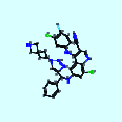 N#Cc1cnc2c(Cl)cc(NC(c3ccccc3)c3cn(C4CC5(CNC5)C4)nn3)cc2c1Nc1ccc(F)c(Cl)c1